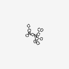 c1ccc(-c2ccc(N(c3ccccc3)c3ccc(-n4c5cc(-c6cccc7ccccc67)ccc5c5c(-c6ccccc6)c6c(cc54)oc4ccccc46)cc3)cc2)cc1